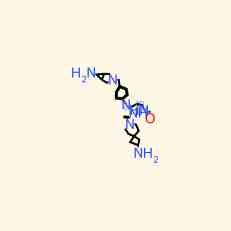 C=C(NC(/C=C\NC=O)=N/c1ccc(CN2CC3C(N)C3C2)cc1)N1CCC2(CC1)CC(N)C2